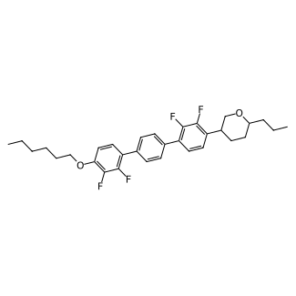 CCCCCCOc1ccc(-c2ccc(-c3ccc(C4CCC(CCC)OC4)c(F)c3F)cc2)c(F)c1F